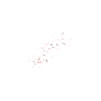 CC1O[C@@H](O[C@@H]2C(O)[C@H](OC(C)(C)C)OC(CO)[C@H]2O)C(O)[C@@H](O[C@@H]2OC(CO)[C@@H](O)[C@H](O[C@@H]3OC(CO)[C@@H](O)[C@H](O)C3O[C@H]3OC(CO)[C@@H](O)[C@H](O)C3O)C2O)[C@H]1O